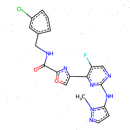 Cn1nccc1Nc1ncc(F)c(-c2coc(C(=O)NCc3cccc(Cl)c3)n2)n1